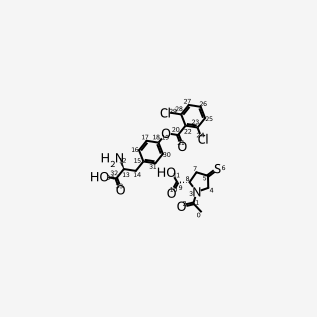 CC(=O)N1CC(=S)C[C@H]1C(=O)O.N[C@@H](Cc1ccc(OC(=O)c2c(Cl)cccc2Cl)cc1)C(=O)O